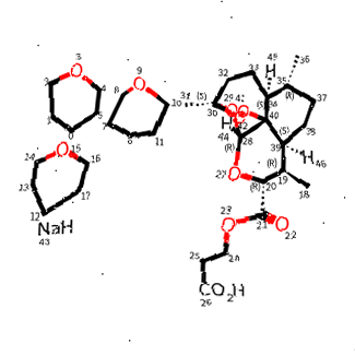 C1CCOCC1.C1CCOCC1.C1CCOCC1.C[C@H]1[C@H](C(=O)OCCC(=O)O)O[C@@H]2O[C@]3(C)CC[C@H]4[C@H](C)CC[C@@H]1C24OO3.[NaH]